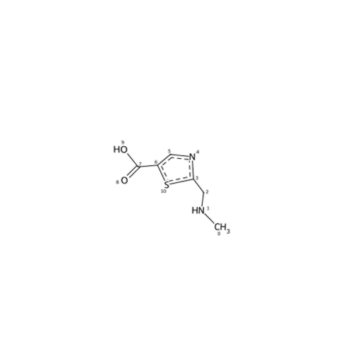 CNCc1ncc(C(=O)O)s1